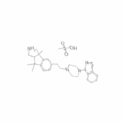 CC1(C)c2ccc(CCN3CCN(c4nsc5ccccc45)CC3)cc2C(C)(C)C1CN.CS(=O)(=O)O